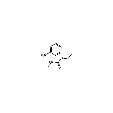 CCOC(=O)NC.Nc1ccccc1